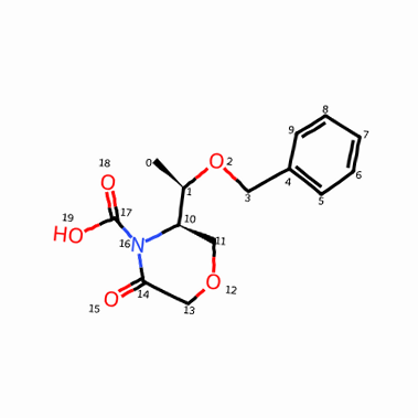 C[C@@H](OCc1ccccc1)[C@H]1COCC(=O)N1C(=O)O